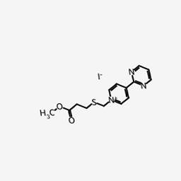 COC(=O)CCSC[n+]1ccc(-c2ncccn2)cc1.[I-]